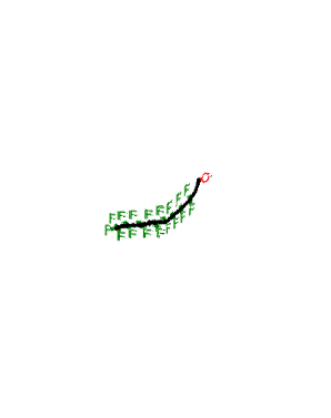 [O]CCC(F)(F)C(F)(F)C(F)(F)C(F)(F)C(F)(F)C(F)(F)C(F)(F)C(F)(F)F